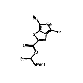 CCCCCC(CC)OC(=O)c1cc2c(Br)[se]c(Br)c2s1